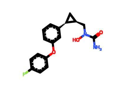 NC(=O)N(O)C[C@@H]1C[C@H]1c1cccc(Oc2ccc(F)cc2)c1